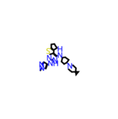 Cn1cc(Nc2nc(N[C@H]3CC[C@H](N4CCC5(CC4)CC5)CC3)c3c4c(sc3n2)CCC4)cn1